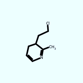 CC1=NC=CCC1CCCl